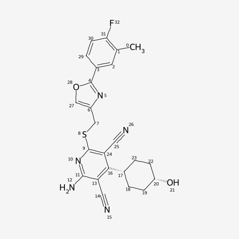 Cc1cc(-c2nc(CSc3nc(N)c(C#N)c([C@H]4CC[C@@H](O)CC4)c3C#N)co2)ccc1F